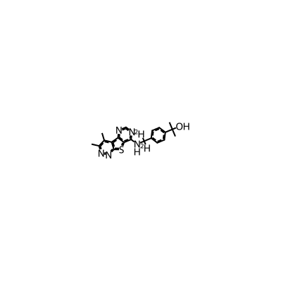 [2H]C([2H])(Nc1ncnc2c1sc1nnc(C)c(C)c12)c1ccc(C(C)(C)O)cc1